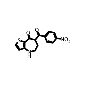 O=C(c1ccc([N+](=O)[O-])cc1)C1CCNc2ccsc2C1=O